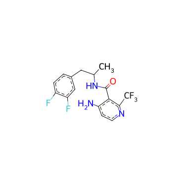 CC(Cc1ccc(F)c(F)c1)NC(=O)c1c(N)ccnc1C(F)(F)F